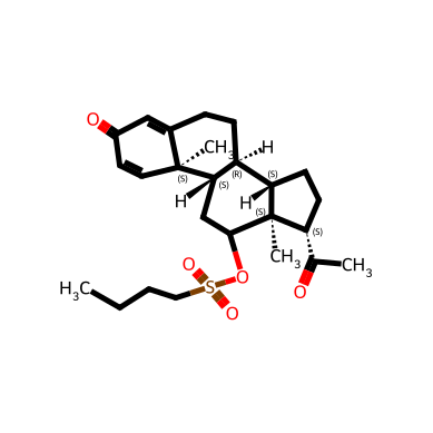 CCCCS(=O)(=O)OC1C[C@H]2[C@@H](CCC3=CC(=O)C=C[C@@]32C)[C@@H]2CC[C@H](C(C)=O)[C@@]12C